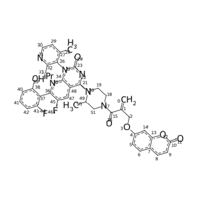 C=C(COc1ccc2ccc(=O)oc2c1)C(=O)N1CCN(c2nc(=O)n(-c3c(C)ccnc3C(C)C)c3nc(-c4c(O)cccc4F)c(F)cc23)C(C)C1